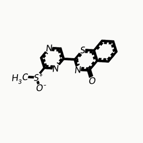 C[S+]([O-])c1cncc(-c2nc(=O)c3ccccc3s2)n1